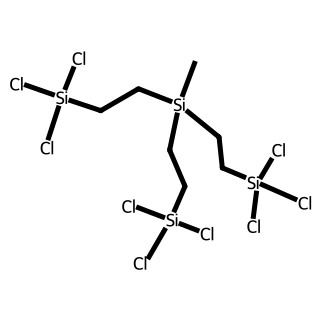 C[Si](CC[Si](Cl)(Cl)Cl)(CC[Si](Cl)(Cl)Cl)CC[Si](Cl)(Cl)Cl